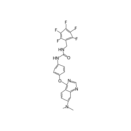 CN(C)c1ccc2c(Oc3ccc(NC(=O)NCc4c(F)c(F)c(F)c(F)c4F)cc3)ncnc2c1